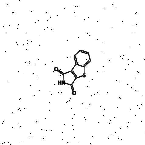 O=C1NC(=O)c2c1sc1ccccc21